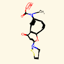 CN(C(=O)O)c1ccc2oc(N3CCCS3)cc(=O)c2c1